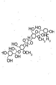 COc1cc([C@H]2OC[C@H]3[C@@H]2CO[C@@H]3c2cc(CO)c(OC(CO)C(O)c3ccc(O)c(CO)c3)c(OC)c2)cc(CO)c1OC(CO)C(O)c1ccc(O)c(C)c1